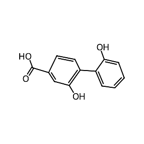 O=C(O)c1ccc(-c2ccccc2O)c(O)c1